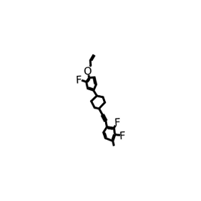 C=CCOc1ccc(C2CCC(C#Cc3ccc(C)c(F)c3F)CC2)cc1F